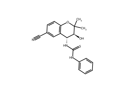 CC1(C)Oc2ccc(C#N)cc2[C@@H](NC(=S)Nc2ccccc2)[C@@H]1O